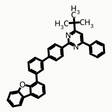 CC(C)(C)c1cc(-c2ccccc2)nc(-c2ccc(-c3cccc(-c4cccc5c4oc4ccccc45)c3)cc2)n1